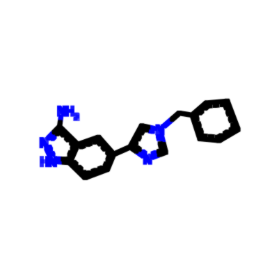 Nc1n[nH]c2ccc(-c3cn(Cc4ccccc4)cn3)cc12